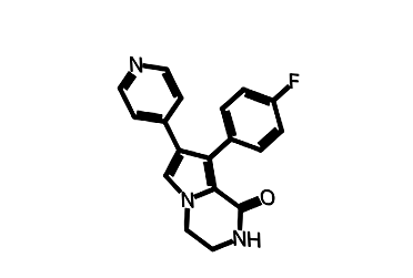 O=C1NCCn2cc(-c3ccncc3)c(-c3ccc(F)cc3)c21